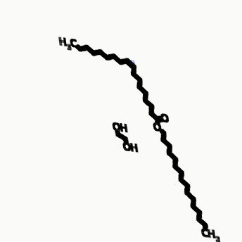 CCCCCCCC/C=C\CCCCCCCC(=O)OCCCCCCCCCCCCCCCC.OCCO